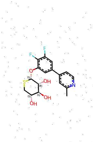 Cc1cc(-c2cc(F)c(F)c(O[C@H]3SC[C@@H](O)[C@H](O)[C@H]3O)c2)ccn1